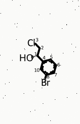 O[C@H](CCl)c1cccc(Br)c1